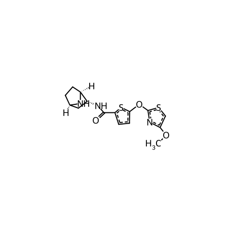 COc1csc(Oc2ccc(C(=O)N[C@@H]3C[C@H]4CC[C@@H]3N4)s2)n1